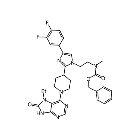 CCn1c(=O)[nH]c2ncnc(N3CCC(c4nc(-c5ccc(F)c(F)c5)cn4CCN(C)C(=O)OCc4ccccc4)CC3)c21